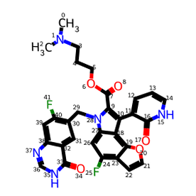 CN(C)CCCOC(=O)c1c(-c2ccc[nH]c2=O)c2c3occc3c(F)cc2n1Cc1cc2c(=O)[nH]cnc2cc1F